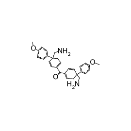 COc1ccc(C2(CN)C=CC(C(=O)C3=CCC(CN)(c4ccc(OC)cc4)C=C3)=CC2)cc1